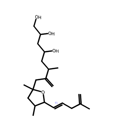 C=C(C)C/C=C/C1OC(C)(CC(=C)C(C)CC(O)CC(O)CO)CC1C